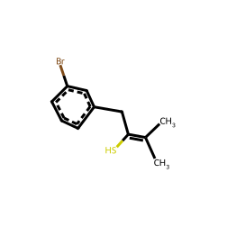 CC(C)=C(S)Cc1cccc(Br)c1